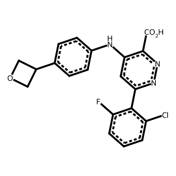 O=C(O)c1nnc(-c2c(F)cccc2Cl)cc1Nc1ccc(C2COC2)cc1